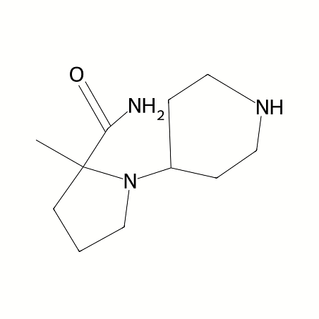 CC1(C(N)=O)CCCN1C1CCNCC1